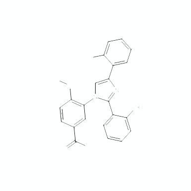 COc1ccc(C(=O)O)cc1-n1cc(-c2ccccc2O)nc1-c1ccccc1O